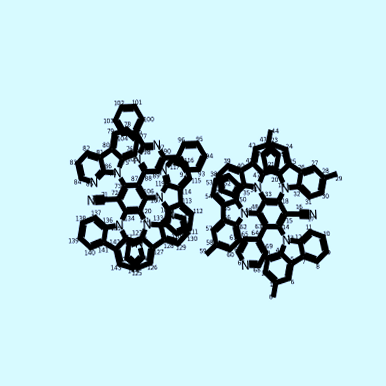 Cc1ccc2c(c1)c1ccccc1n2-c1c(C#N)c(-n2c3ccccc3c3cc(C)ccc32)c(-n2c3ccccc3c3cc(C)ccc32)c(-n2c3ccccc3c3cc(C)ccc32)c1-c1ccncc1.N#Cc1c(-n2c3ccccc3c3cccnc32)c(-c2cc(-c3ccccc3)nc(-c3ccccc3)n2)c(-n2c3ccccc3c3cccnc32)c(-n2c3ccccc3c3cccnc32)c1-n1c2ccccc2c2cccnc21